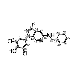 Cc1nn(-c2cc(Cl)c(O)c(Cl)c2)c2cnc(NCc3ccccc3)cc12